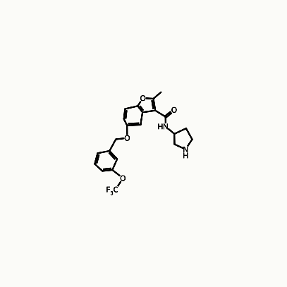 Cc1oc2ccc(OCc3cccc(OC(F)(F)F)c3)cc2c1C(=O)NC1CCNC1